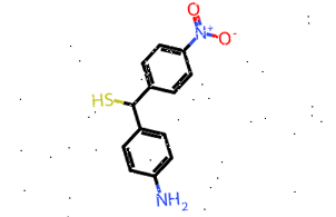 Nc1ccc(C(S)c2ccc([N+](=O)[O-])cc2)cc1